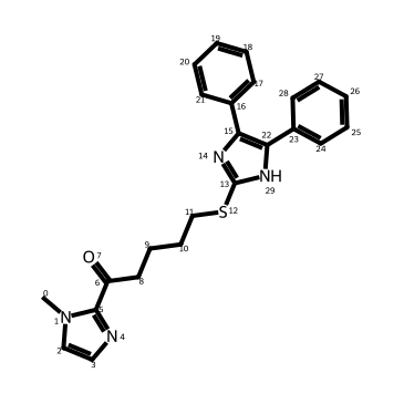 Cn1ccnc1C(=O)CCCCSc1nc(-c2ccccc2)c(-c2ccccc2)[nH]1